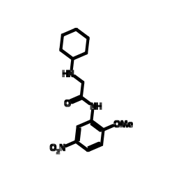 COc1ccc([N+](=O)[O-])cc1NC(=O)CNC1CCCCC1